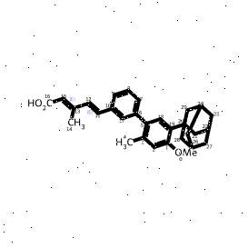 COc1cc(C)c(-c2cccc(/C=C/C(C)=C/C(=O)O)c2)cc1C12CC3CC(CC(C3)C1)C2